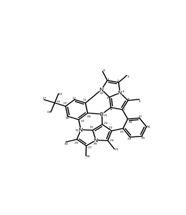 Cc1c(C)n2c(C)c3c4c2n1-c1cc(C(C)(C)C)cc2c1B4c1c(c(C)n4c(C)c(C)n-2c14)-c1ccccc1-3